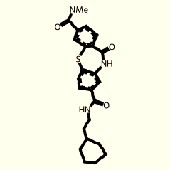 CNC(=O)c1ccc2c(c1)Sc1ccc(C(=O)NCCC3CCCCC3)cc1NC2=O